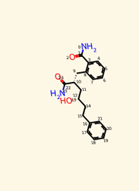 NC(=O)c1ccccc1C[C@H](C[C@@H](O)[CH]Cc1ccccc1)C(N)=O